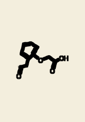 O=[C]Cc1ccccc1OCC(=O)O